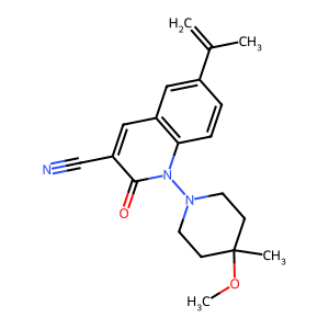 C=C(C)c1ccc2c(c1)cc(C#N)c(=O)n2N1CCC(C)(OC)CC1